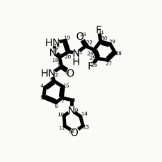 O=C(Nc1cccc(CN2CCOCC2)c1)c1n[nH]cc1NC(=O)c1c(F)cccc1F